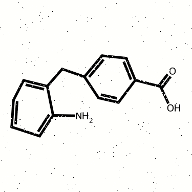 Nc1ccccc1Cc1ccc(C(=O)O)cc1